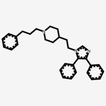 c1ccc(CCCN2CCC(CCn3cnc(-c4ccccc4)c3-c3ccccc3)CC2)cc1